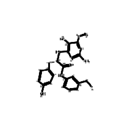 CCOc1nc(N)nc(N[C@@H](Cc2ccc(O)cc2)C(=O)Nc2cccc(CF)c2)c1C#N